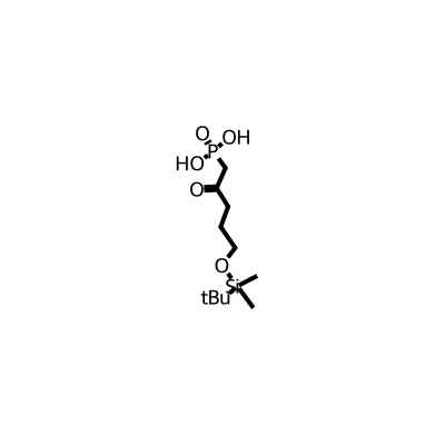 CC(C)(C)[Si](C)(C)OCCCC(=O)CP(=O)(O)O